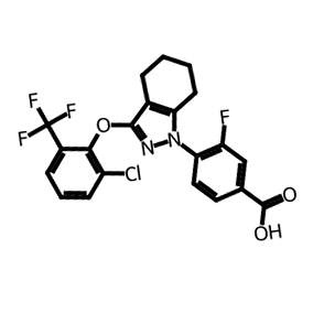 O=C(O)c1ccc(-n2nc(Oc3c(Cl)cccc3C(F)(F)F)c3c2CCCC3)c(F)c1